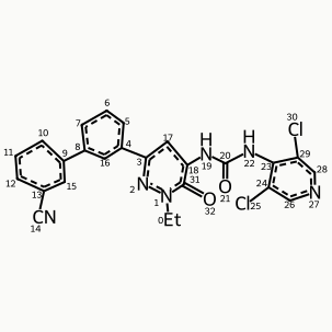 CCn1nc(-c2cccc(-c3cccc(C#N)c3)c2)cc(NC(=O)Nc2c(Cl)cncc2Cl)c1=O